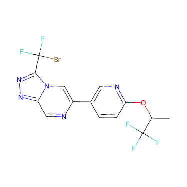 CC(Oc1ccc(-c2cn3c(C(F)(F)Br)nnc3cn2)cn1)C(F)(F)F